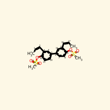 C/C=C\c1cc(-c2ccc(OS(C)(=O)=O)c(/C=C\C)c2)ccc1OS(C)(=O)=O